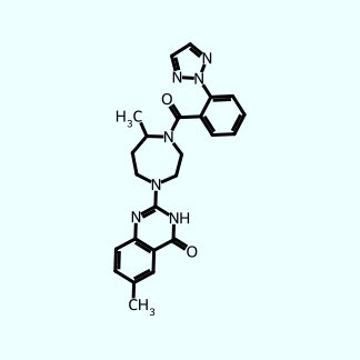 Cc1ccc2nc(N3CCC(C)N(C(=O)c4ccccc4-n4nccn4)CC3)[nH]c(=O)c2c1